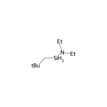 CCN(CC)[SiH2]CC(C)(C)C